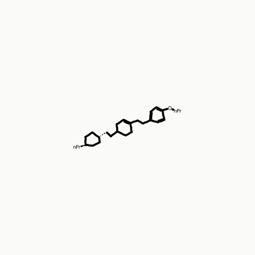 CCCOc1ccc(CCC2=CCC(CC[C@H]3CC[C@H](CCC)CC3)CC2)cc1